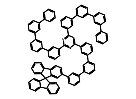 c1ccc(-c2cccc(-c3cccc(-c4cccc(-c5nc(-c6cccc(-c7cccc(-c8cccc(-c9ccccc9)c8)c7)c6)nc(-c6cccc(-c7cccc(-c8cccc(-c9ccc%10c(c9)C9(c%11ccccc%11-c%11ccccc%119)c9ccccc9-%10)c8)c7)c6)n5)c4)c3)c2)cc1